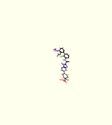 C=C(Nc1cccc(-c2cccc(NC=O)c2CCC)c1Cl)c1nc2c(n1C)CCN(C1CCC(C)(C(=O)O)CC1)C2